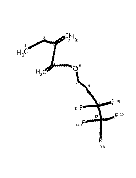 C=C(CC)C(=C)OCCC(F)(F)C(F)(F)F